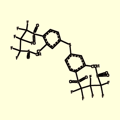 O=S(=O)(O)C(F)(F)C(F)(F)C(F)(F)S(=O)(=O)c1ccc(Sc2ccc(S(=O)(=O)C(F)(F)C(F)(F)C(F)(F)S(=O)(=O)O)c(Cl)c2)cc1Cl